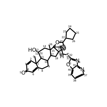 CC12C=CC(=O)C=C1CCC1C2[C@@H](O)CC2(C)C1C[C@@H]1OC(C3CCCC3)O[C@]12C(=O)CSc1nc2ncccc2o1